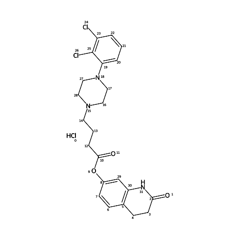 Cl.O=C1CCc2ccc(OC(=O)CCCN3CCN(c4cccc(Cl)c4Cl)CC3)cc2N1